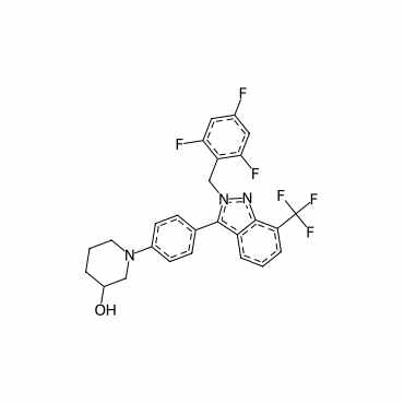 OC1CCCN(c2ccc(-c3c4cccc(C(F)(F)F)c4nn3Cc3c(F)cc(F)cc3F)cc2)C1